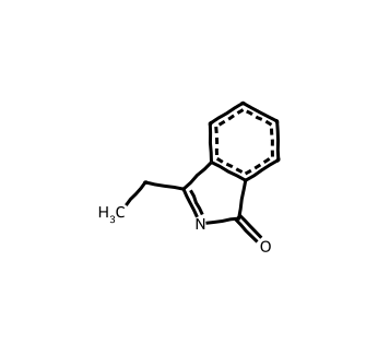 CCC1=NC(=O)c2ccccc21